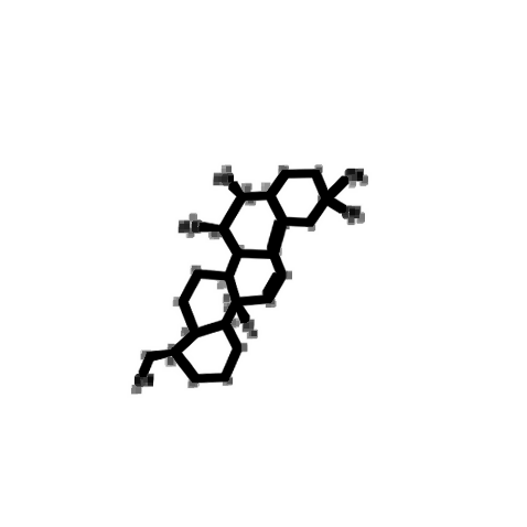 C[C@@H]1C2C(=C3CC(C)(C)CCC3[C@@H]1O)C=C[C@@H]1C3CCC[C@@H](CO)C3CCC21